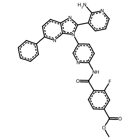 COC(=O)c1ccc(C(=O)Nc2ccc(-n3c(-c4cccnc4N)nc4ccc(-c5ccccc5)nc43)cn2)c(F)c1